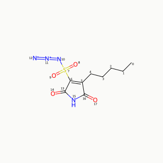 CCCCCC1=C(S(=O)(=O)N=[N+]=[N-])C(=O)NC1=O